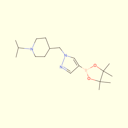 CC(C)N1CCC(Cn2cc(B3OC(C)(C)C(C)(C)O3)cn2)CC1